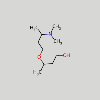 CC(CCO)OCCC(C)N(C)C